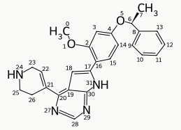 COc1cc(O[C@@H](C)c2ccccc2)ccc1-c1cc2c(C3=CCNCC3)ncnc2[nH]1